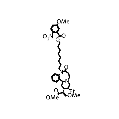 CC[C@H]1CN2CCC(=O)N(CCCCCCCCOC(=O)c3cc(OC)ccc3[N+](=O)[O-])c3ccccc3C2C[C@@H]1/C(=C\OC)C(=O)OC